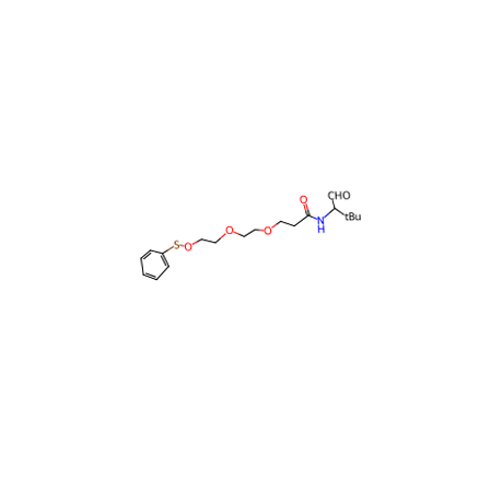 CC(C)(C)C(C=O)NC(=O)CCOCCOCCOSc1ccccc1